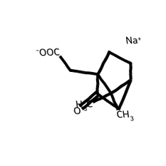 CC1(C)C2CCC1(CC(=O)[O-])C(=O)C2.[Na+]